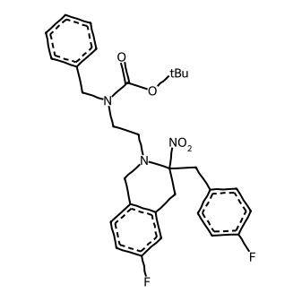 CC(C)(C)OC(=O)N(CCN1Cc2ccc(F)cc2CC1(Cc1ccc(F)cc1)[N+](=O)[O-])Cc1ccccc1